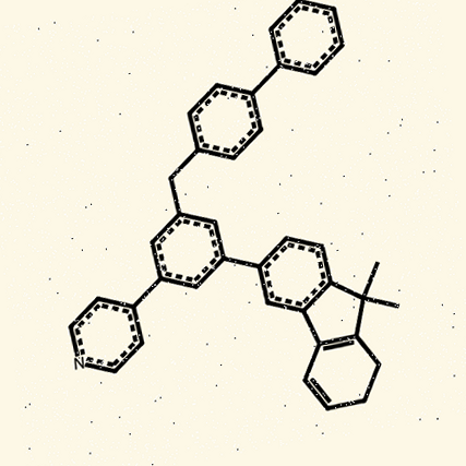 CC1(C)C2=C(C=CCC2)c2cc(-c3cc(Cc4ccc(-c5ccccc5)cc4)cc(-c4ccncc4)c3)ccc21